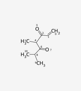 C=CC(=O)C(C)C(=O)C(C)C